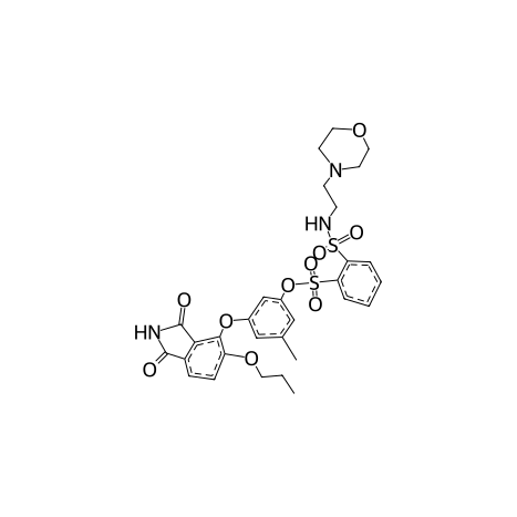 CCCOc1ccc2c(c1Oc1cc(C)cc(OS(=O)(=O)c3ccccc3S(=O)(=O)NCCN3CCOCC3)c1)C(=O)NC2=O